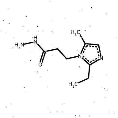 CCc1ncc(C)n1CCC(=O)NN